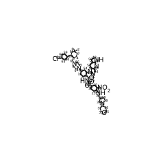 CC1(C)CCC(CN2CCN(c3ccc(C(=O)NS(=O)(=O)c4ccc(NC[C@H]5CCN(C6CCOCC6)C5)c([N+](=O)[O-])c4)c(-n4ncc5nc6[nH]ccc6cc54)c3)CC2)=C(c2ccc(Cl)cc2)C1